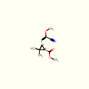 COC(=O)[C@@H]1[C@@H](/C=C(\C#N)OC)C1(C)C